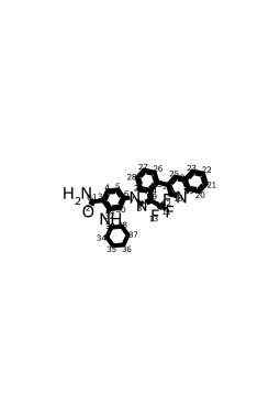 NC(=O)c1ccc(-n2nc(C(F)(F)F)c3c(-c4cnc5ccccc5c4)cccc32)cc1NC1CCCCC1